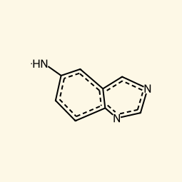 [NH]c1ccc2ncncc2c1